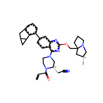 C=CC(=O)N1CCN(c2nc(OCC34CCCN3C[C@H](F)C4)nc3cc(-c4cccc5c4C4CC4C5)ccc23)C[C@@H]1CC#N